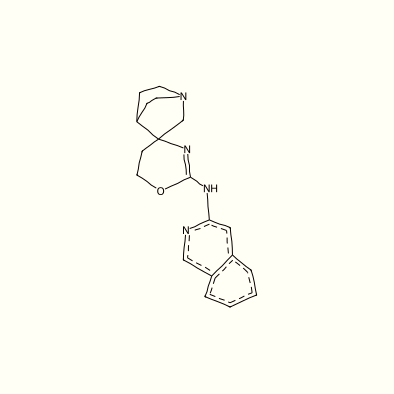 c1ccc2cc(NC3=NC4(CCO3)CN3CCC4CC3)ncc2c1